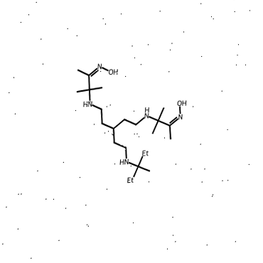 CCC(C)(CC)NCCC(CCNC(C)(C)/C(C)=N\O)CCNC(C)(C)/C(C)=N\O